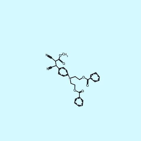 COC(=O)C(C#N)C(C#N)c1ccc(N(CCOC(=O)c2ccccc2)CCOC(=O)c2ccccc2)cc1